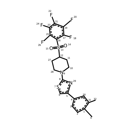 Cc1ccc(-c2csc(N3CCC(S(=O)(=O)c4c(F)c(F)c(F)c(F)c4F)CC3)n2)cc1C